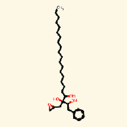 CCCCCCCCCCCCCCCCCCC(O)C(O)(CC1CO1)C(O)Cc1ccccc1